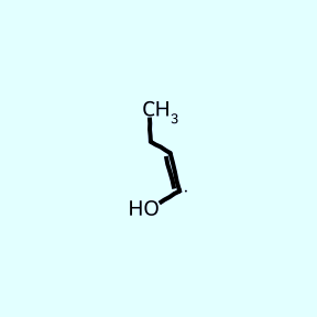 CC/C=[C]\O